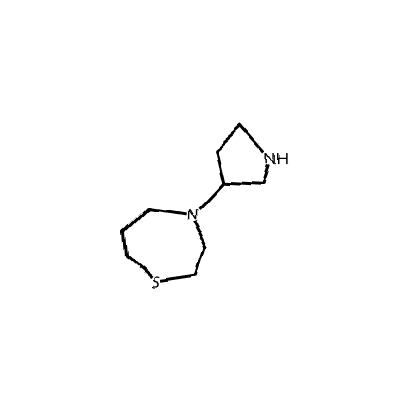 C1CSCCN(C2CCNC2)C1